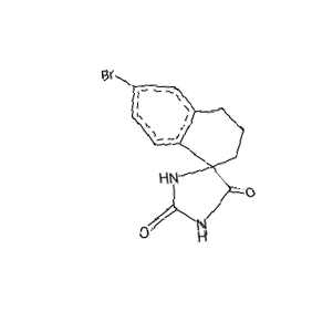 O=C1NC(=O)C2(CCCc3cc(Br)ccc32)N1